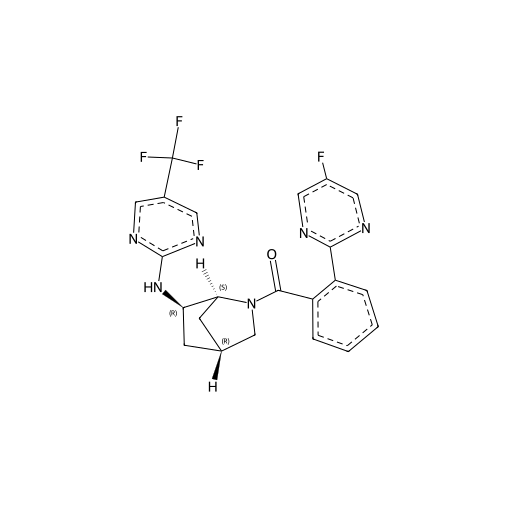 O=C(c1ccccc1-c1ncc(F)cn1)N1C[C@@H]2C[C@@H](Nc3ncc(C(F)(F)F)cn3)[C@@H]1C2